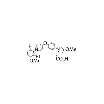 CCc1c(OC)ccc(F)c1N1CCC(Oc2ccc(N3C[C@H](OC)C[C@@H]3CC(=O)O)cc2)CC1